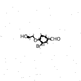 C#CCOc1ccc(C=O)cc1Br